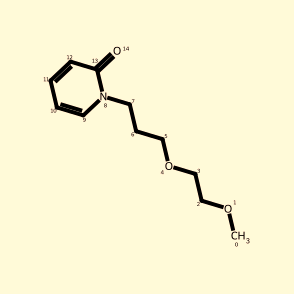 COCCOCCCn1ccccc1=O